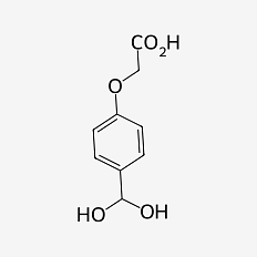 O=C(O)COc1ccc(C(O)O)cc1